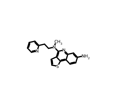 CN(CCc1ccccn1)c1nc2cc(N)ccc2c2sccc12